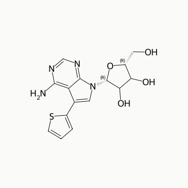 Nc1ncnc2c1c(-c1cccs1)cn2[C@@H]1O[C@H](CO)C(O)C1O